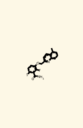 Cc1cccc2nc(COc3ccc(F)c(C(N)=O)c3F)ccc12